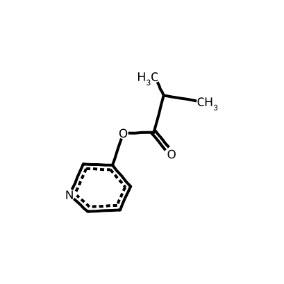 CC(C)C(=O)Oc1cccnc1